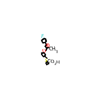 Cc1oc(-c2ccc(F)cc2)cc1COc1cccc(CSC2(C(=O)O)CCC2)c1